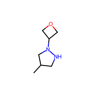 CC1CNN(C2COC2)C1